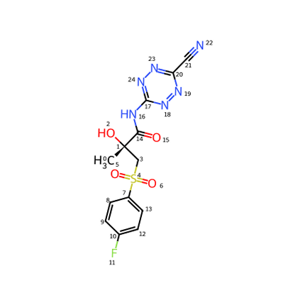 C[C@](O)(CS(=O)(=O)c1ccc(F)cc1)C(=O)Nc1nnc(C#N)nn1